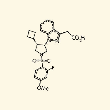 COc1ccc(S(=O)(=O)N2C[C@@H](C3CCC3)[C@@H](n3nc(CC(=O)O)c4ccccc43)C2)c(F)c1